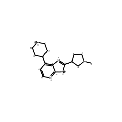 CN1CCC(c2nc3c(C4CCNCC4)ccnc3[nH]2)C1